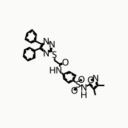 Cc1noc(NS(=O)(=O)c2ccc(NC(=O)CSc3nnc(-c4ccccc4)c(-c4ccccc4)n3)cc2)c1C